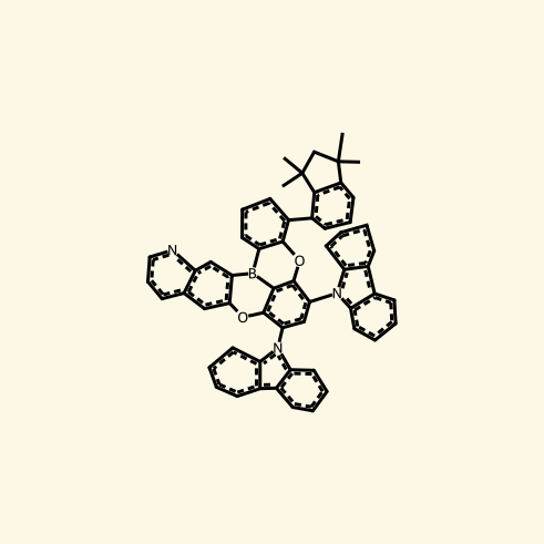 CC1(C)CC(C)(C)c2c(-c3cccc4c3Oc3c(-n5c6ccccc6c6ccccc65)cc(-n5c6ccccc6c6ccccc65)c5c3B4c3cc4ncccc4cc3O5)cccc21